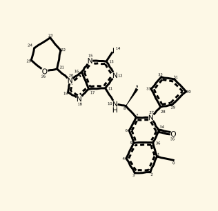 Cc1cccc2cc([C@H](C)Nc3nc(I)nc4c3ncn4C3CCCCO3)n(-c3ccccc3)c(=O)c12